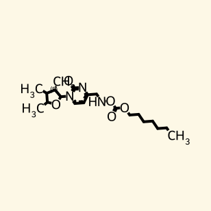 CCCCCCCOC(=O)ONCc1ccn(C2OC(C)C(C)[C@@H]2C)c(=O)n1